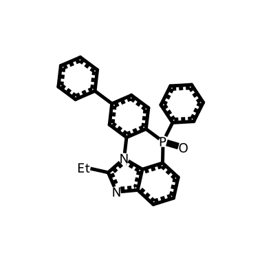 CCc1nc2cccc3c2n1-c1cc(-c2ccccc2)ccc1P3(=O)c1ccccc1